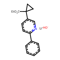 CCOC(=O)C1(c2ccc(-c3ccccc3)nc2)CC1.[Li+].[OH-]